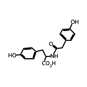 O=C(Cc1ccc(O)cc1)NC(Cc1ccc(O)cc1)C(=O)O